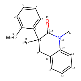 COc1ccccc1C1(C(C)C)Cc2ccccc2N(C)C1=O